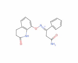 NC(=O)C/C(=N\Oc1cccc2c1NC(=O)CC2)c1ccccc1